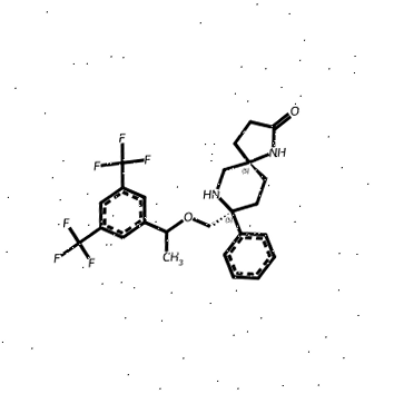 CC(OC[C@@]1(c2ccccc2)CC[C@]2(CCC(=O)N2)CN1)c1cc(C(F)(F)F)cc(C(F)(F)F)c1